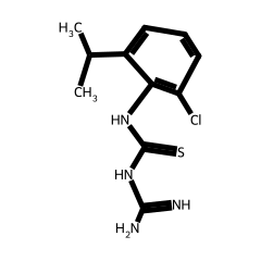 CC(C)c1cccc(Cl)c1NC(=S)NC(=N)N